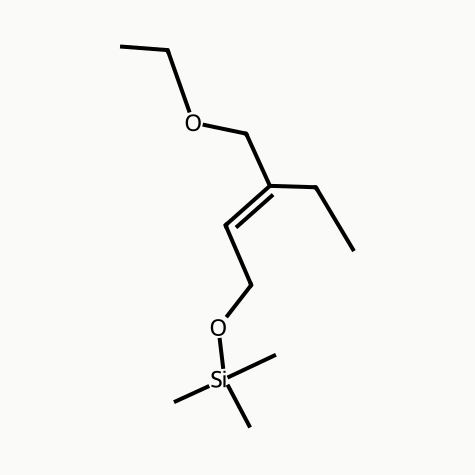 CCOCC(=CCO[Si](C)(C)C)CC